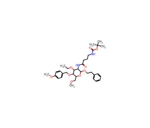 CCOC1C(NC(=O)CCCNC(=O)OC(C)(C)C)C(OCCc2ccccc2)OC(COC)C1OCc1ccc(OC)cc1